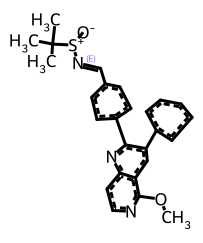 COc1nccc2nc(-c3ccc(/C=N/[S+]([O-])C(C)(C)C)cc3)c(-c3ccccc3)cc12